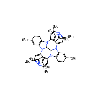 CC(C)(C)c1ccc2c(c1)N(c1cc(C(C)(C)C)nc(C(C)(C)C)c1)C(C1N(c3cc(C(C)(C)C)nc(C(C)(C)C)c3)c3ccc(C(C)(C)C)cc3N1c1cc(C(C)(C)C)nc(C(C)(C)C)c1)N2c1cc(C(C)(C)C)nc(C(C)(C)C)c1